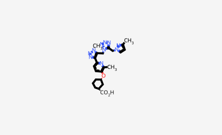 Cc1ccn(Cc2nnnn2Cc2c(-c3ccc(O[C@H]4CCC[C@H](C(=O)O)C4)c(C)n3)nnn2C)n1